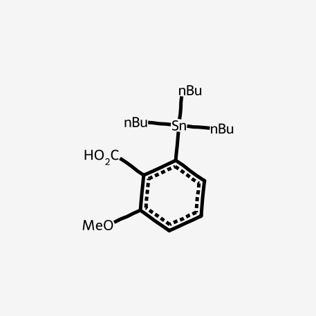 CCC[CH2][Sn]([CH2]CCC)([CH2]CCC)[c]1cccc(OC)c1C(=O)O